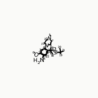 COc1cc(N2CCN(C)CC2)c(C(C)(C)O[SiH2]C(C)(C)C)cc1N